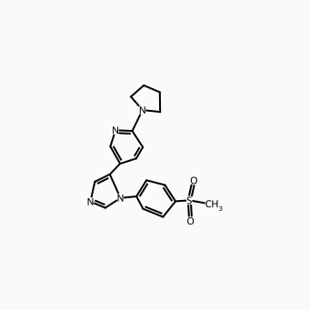 CS(=O)(=O)c1ccc(-n2cncc2-c2ccc(N3CCCC3)nc2)cc1